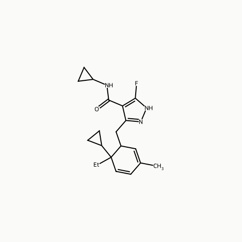 CCC1(C2CC2)C=CC(C)=CC1Cc1n[nH]c(F)c1C(=O)NC1CC1